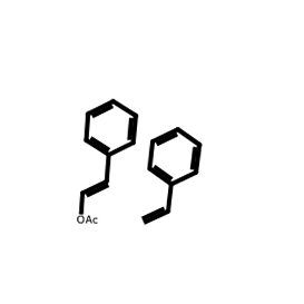 C=Cc1ccccc1.CC(=O)OC=Cc1ccccc1